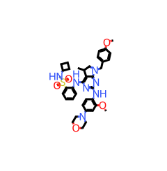 COc1ccc(CN2CC(C)c3c(Nc4ccccc4S(=O)(=O)NC4CCC4)nc(Nc4ccc(N5CCOCC5)cc4OC)nc32)cc1